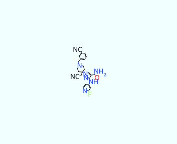 N#CCC1(n2cc(C(N)=O)c(Nc3ccnc(F)c3)n2)CCN(Cc2cccc(C#N)c2)CC1